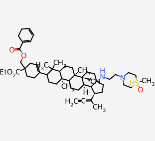 C#C[C@@]12CC[C@@]3(NCCN4CC[SH](C)(=O)CC4)CC[C@@H](C(C)=C=C)C3[C@H]1CCC1[C@@]3(C)CCC(C4=CCC(COC(=O)C5=CC=CCC5)(C(=O)OCC)CC4)C(C)(C)C3CC[C@]12C